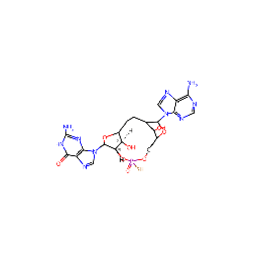 Nc1nc2c(ncn2C2OC3CCC4C(O)C(COP(=O)(S)O[C@@H]2[C@@H]3O)OC4n2cnc3c(N)ncnc32)c(=O)[nH]1